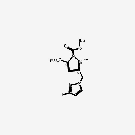 CCOC(=O)[C@@H]1C[C@H](Cn2ccc(I)n2)[C@@H](C)N1C(=O)OC(C)(C)C